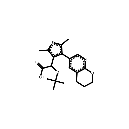 Cc1sc(C)c(C(OC(C)(C)C)C(=O)O)c1-c1cnc2c(c1)CCCO2